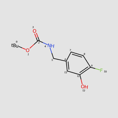 CC(C)(C)OC(=O)NCc1ccc(F)c(O)c1